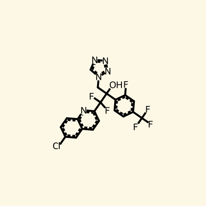 OC(Cn1cnnn1)(c1ccc(C(F)(F)F)cc1F)C(F)(F)c1ccc2cc(Cl)ccc2n1